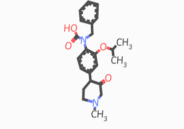 CC(C)Oc1cc(C2CCN(C)CC2=O)ccc1N(Cc1ccccc1)C(=O)O